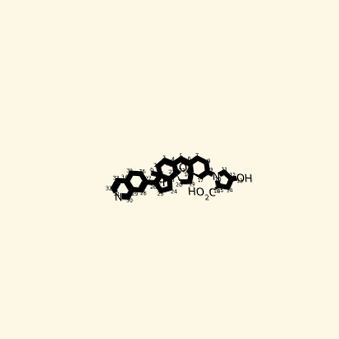 CC12CC=C3C=C4CCC(N5CC(O)C[C@H]5C(=O)O)C[C@]45CC[C@]3(O5)[C@@H]1CCC2C1=Cc2cnccc2CC1